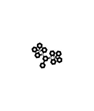 c1ccc(-c2cc(N3c4ccccc4[Si](c4ccccc4)(c4ccccc4)c4ccccc43)cc(N3c4ccccc4[Si](c4ccccc4)(c4ccccc4)c4ccccc43)c2)cc1